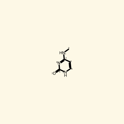 CNc1[c]c[nH]c(=O)n1